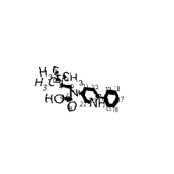 C[Si](C)(C)CCN(C(=O)O)[C@@H]1CC[C@@H](c2ccccc2)NC1